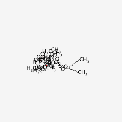 CCCCCCCCC(CCCCCC)COC(=O)CSSCC(=O)O[C@H](C(=O)O[C@@H]1C[C@]2(O)[C@H](OC(=O)c3ccccc3)[C@H]3[C@@]4(OC(C)=O)CO[C@H]4C[C@@H](OC)[C@]3(C)C(=O)[C@@H](OC)C(=C1C)C2(C)C)[C@H](NC(=O)OC(C)(C)C)c1ccccc1